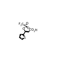 O=C(O)C=C(OS(=O)(=O)C(F)(F)F)c1cccs1